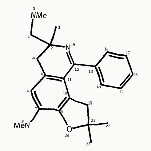 CNCC1(C)Cc2cc(NC)c3c(c2C(c2ccccc2)=N1)CC(C)(C)O3